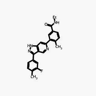 CCNC(=O)c1ccc(C)c(-c2cc3[nH]nc(-c4ccc(C)c(F)c4)c3cn2)c1